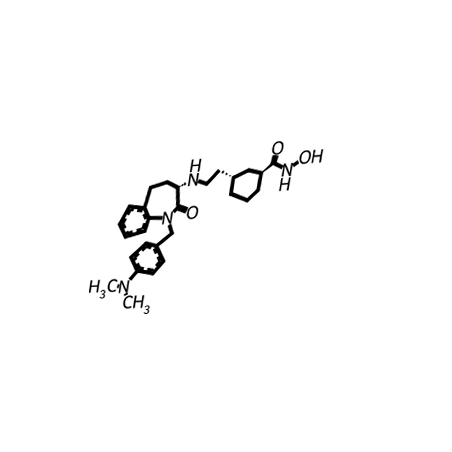 CN(C)c1ccc(CN2C(=O)[C@@H](NCC[C@H]3CCC[C@H](C(=O)NO)C3)CCc3ccccc32)cc1